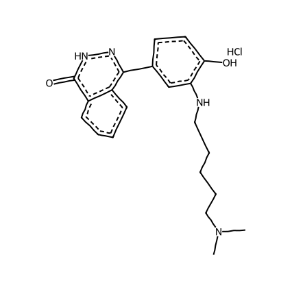 CN(C)CCCCCNc1cc(-c2n[nH]c(=O)c3ccccc23)ccc1O.Cl